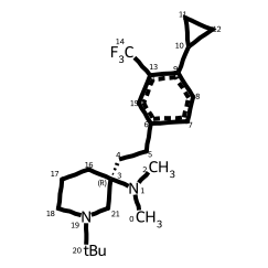 CN(C)[C@]1(CCc2ccc(C3CC3)c(C(F)(F)F)c2)CCCN(C(C)(C)C)C1